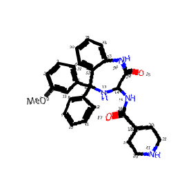 COc1cccc(C2(c3ccccc3)NC(NC(=O)C3CCNCC3)C(=O)Nc3ccccc32)c1